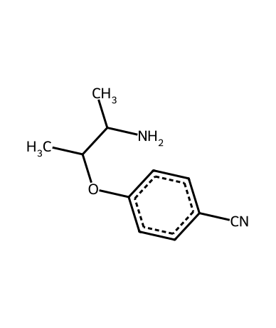 CC(N)C(C)Oc1ccc(C#N)cc1